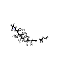 CCCC(=O)OCCNC(=O)[C@H](C)NC(=O)[C@H](OC)[C@H](O)[C@@H](O)[C@H](O)/C=C/C(C)(C)C